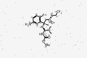 CN(C)/C(=N\[C@@](C)(C/[SH](=O)=N/CC(F)(F)F)c1nc(N)ccc1F)NC(=O)OC(C)(C)C